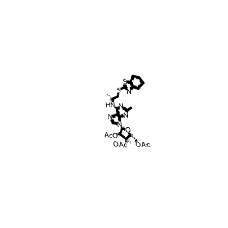 CC(=O)OC[C@H]1O[C@@H](n2cnc3c(N[C@H](C)CSc4nc5ccccc5s4)nc(C)nc32)[C@H](OC(C)=O)[C@@H]1OC(C)=O